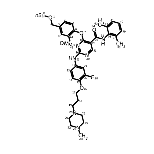 CCCCOCc1ccc(Oc2nc(Nc3ccc(OCCCN4CCN(C)CC4)c(F)c3)ncc2C(=O)Nc2c(C)cccc2C)c(OC)c1